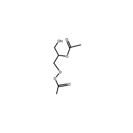 CC(=O)OOCC(CO)OC(C)=O